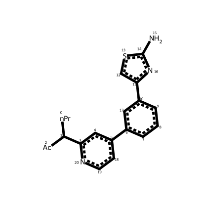 CCCC(C(C)=O)c1cc(-c2cccc(-c3csc(N)n3)c2)ccn1